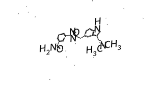 CN(C)CCc1c[nH]c2ccc(Cc3nc(-c4cccc(C(N)=O)c4)no3)cc12